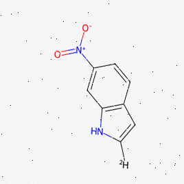 [2H]c1cc2ccc([N+](=O)[O-])cc2[nH]1